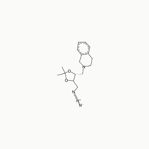 CC1(C)OC(CN=[N+]=[N-])[C@@H](CN2CCc3ccccc3C2)O1